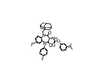 CN(C)c1cccc(OC(=O)NC2C(=O)N(CC34CC5CC(CC(C5)C3)C4)c3ccc(F)cc3N(c3ccc(F)cc3)C2=O)c1